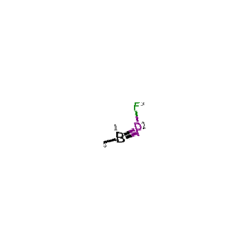 CB=PF